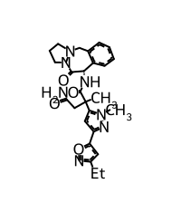 CCc1cc(-c2cc(C(C)(CC(N)=O)C(=O)N[C@@H]3C(=O)N4CCCN4Cc4ccccc43)n(C)n2)on1